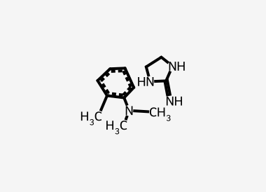 Cc1ccccc1N(C)C.N=C1NCCN1